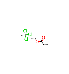 CC(Cl)(Cl)Cl.CCOC(=O)CC